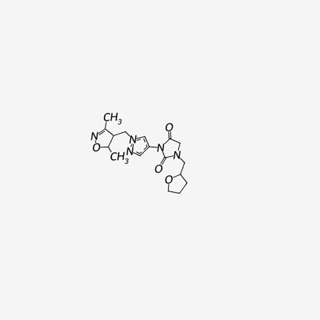 CC1=NOC(C)C1Cn1cc(N2C(=O)CN(CC3CCCO3)C2=O)cn1